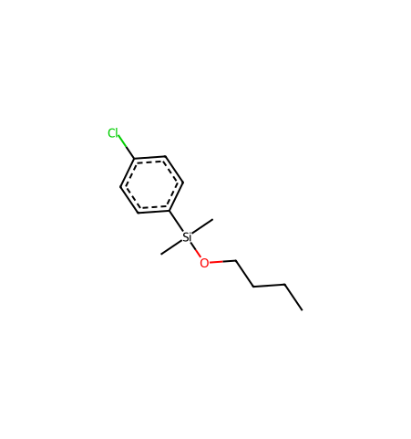 CCCCO[Si](C)(C)c1ccc(Cl)cc1